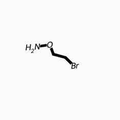 NOCCBr